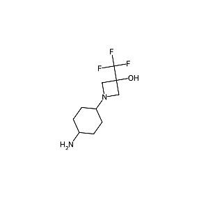 NC1CCC(N2CC(O)(C(F)(F)F)C2)CC1